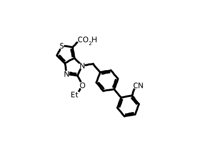 CCOc1nc2csc(C(=O)O)c2n1Cc1ccc(-c2ccccc2C#N)cc1